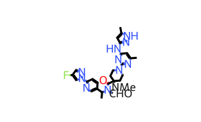 CNC1(C(=O)N(C=O)C(C)c2ccc(-n3cc(F)cn3)nc2)CCN(c2nc(C)cc(Nc3cc(C)[nH]n3)n2)CC1